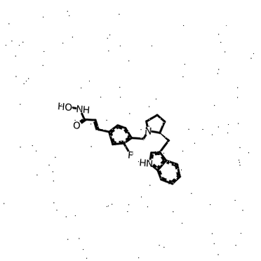 O=C(C=Cc1ccc(CN2CCC[C@H]2Cc2c[nH]c3ccccc23)c(F)c1)NO